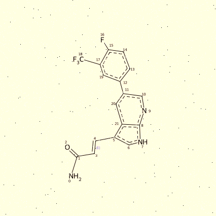 NC(=O)/C=C/c1c[nH]c2ncc(-c3ccc(F)c(C(F)(F)F)c3)cc12